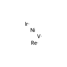 [Ir].[Ni].[Re].[V]